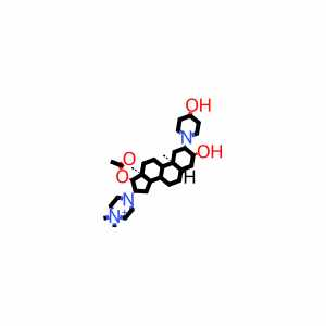 CC(=O)O[C@H]1[C@@H](N2CC[N+](C)(C)CC2)CC2C3CC[C@H]4C[C@H](O)[C@@H](N5CCC(O)CC5)C[C@]4(C)C3CC[C@@]21C